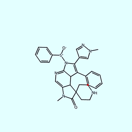 CN1C(=O)C2(CCNCC2)C2C1=CN=C1C2C(c2ccccc2)=C(c2cnn(C)c2)N1[S+]([O-])c1ccccc1